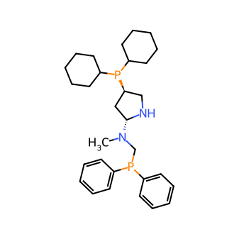 CN(CP(c1ccccc1)c1ccccc1)[C@@H]1C[C@@H](P(C2CCCCC2)C2CCCCC2)CN1